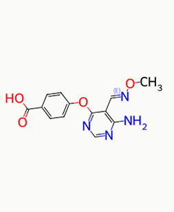 CO/N=C/c1c(N)ncnc1Oc1ccc(C(=O)O)cc1